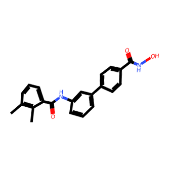 Cc1cccc(C(=O)Nc2cccc(-c3ccc(C(=O)NO)cc3)c2)c1C